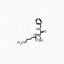 CCCCCC(=O)N[C@@H](CS)C(=O)NCc1ccccc1